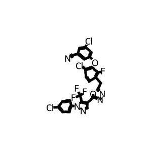 N#Cc1cc(Cl)cc(Oc2c(Cl)ccc(Cc3nnc(-c4cnn(-c5ccc(Cl)cc5)c4C(F)(F)F)o3)c2F)c1